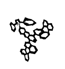 c1ccc(-c2ccc(-c3ccccc3)n2-c2ccc3cc4c(-c5ccc6c7cccc8cccc(c9cccc5c96)c87)ccc(-c5ccc6c7cccc8cccc(c9cccc5c96)c87)c4cc3c2)cc1